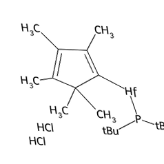 CC1=C(C)C(C)(C)[C]([Hf][P](C(C)(C)C)C(C)(C)C)=C1C.Cl.Cl